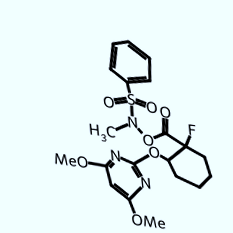 COc1cc(OC)nc(OC2CCCCC2(F)C(=O)ON(C)S(=O)(=O)c2ccccc2)n1